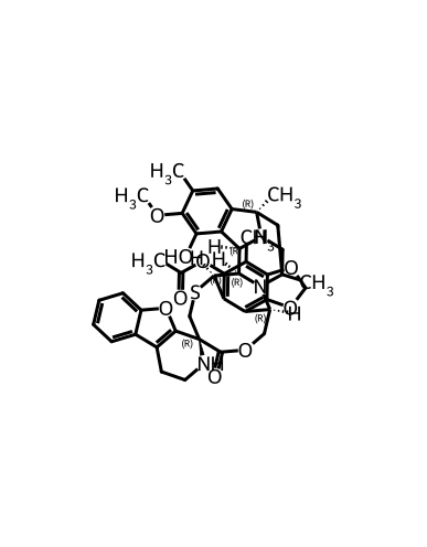 COc1c(C)cc2c(c1O)[C@@H]1[C@@H]3[C@@H]4SC[C@]5(NCCc6c5oc5ccccc65)C(=O)OC[C@@H](c5c6c(c(C)c(OC(C)=O)c54)OCO6)N3C3(C)CN1[C@]2(C)C3